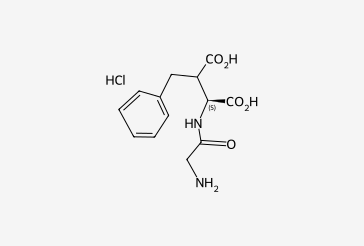 Cl.NCC(=O)N[C@H](C(=O)O)C(Cc1ccccc1)C(=O)O